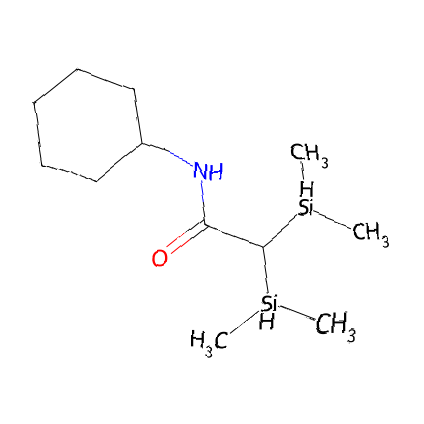 C[SiH](C)C(C(=O)NC1CCCCC1)[SiH](C)C